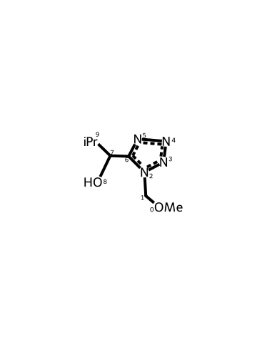 COCn1nnnc1C(O)C(C)C